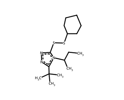 CCC(C)n1c(SSC2CCCCC2)nnc1C(C)(C)C